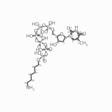 Cc1cn([C@H]2C[C@@H](O)[C@@H](COP(=O)(O)OP(=O)(O)OP(=O)(O)OP(=O)(O)OP(=O)(O)OP(=O)(O)OCCCCCCN)O2)c(=O)[nH]c1=O